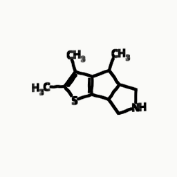 Cc1sc2c(c1C)C(C)C1CNCC21